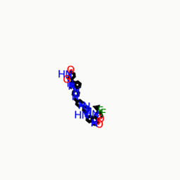 Cn1nc(C2CCC(=O)NC2=O)c2cccc(N3CCN(CC4CCN(c5cc(Nc6ccc7c(c6)c6c(c(=O)n7C)OCC(F)(F)[C@H](C7CC7)N6)ncn5)CC4)CC3)c21